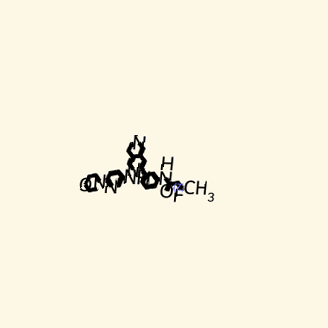 C/C(F)=C/C(=O)Nc1cccc(C2=CC3=CN=CCC3=CN2Nc2ccc(N3CCOCC3)nc2)c1